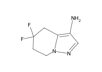 Nc1cnn2c1CC(F)(F)CC2